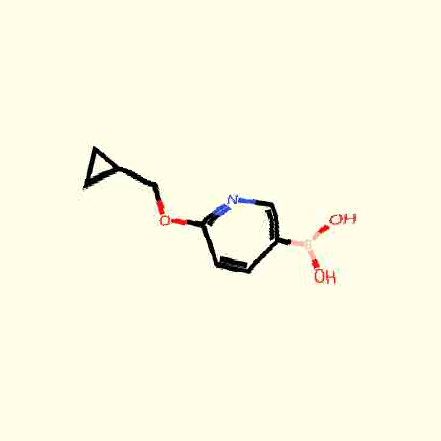 OB(O)c1ccc(OCC2CC2)nc1